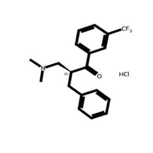 CN(C)C[C@H](Cc1ccccc1)C(=O)c1cccc(C(F)(F)F)c1.Cl